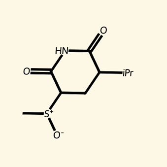 CC(C)C1CC([S+](C)[O-])C(=O)NC1=O